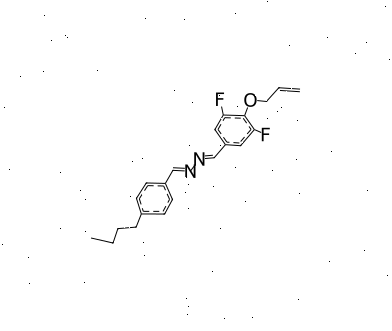 C=CCOc1c(F)cc(C=NN=Cc2ccc(CCCC)cc2)cc1F